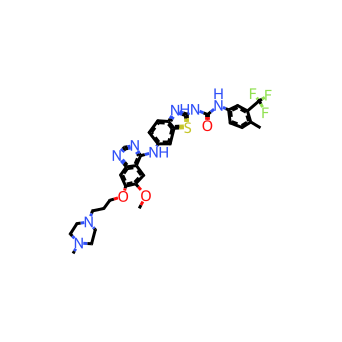 COc1cc2c(Nc3ccc4nc(NC(=O)Nc5ccc(C)c(C(F)(F)F)c5)sc4c3)ncnc2cc1OCCCN1CCN(C)CC1